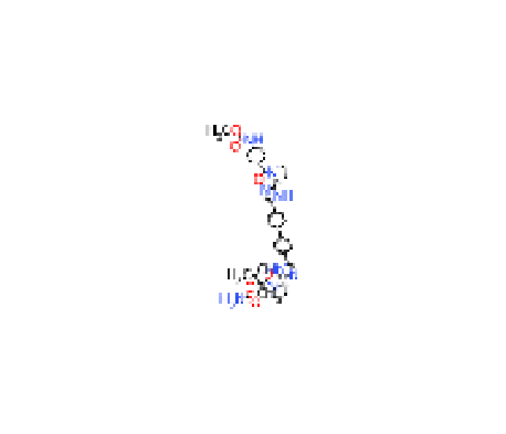 COC(=O)N[C@H]1CC[C@H](C(=O)N2CCC[C@H]2c2ncc(-c3ccc(-c4ccc(-c5cnc([C@@H]6CCCN6C(=O)[C@@](C)(OC(N)=O)C(C)C)[nH]5)cc4)cc3)[nH]2)CC1